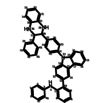 c1ccc(Nc2ccccc2-c2ccc3c(c2)c2ccccc2n3-c2ccc(C3Nc4ccccc4NC3c3ccccc3)cc2)cc1